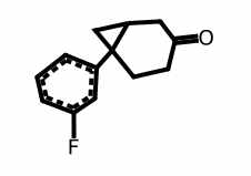 O=C1CCC2(c3cccc(F)c3)CC2C1